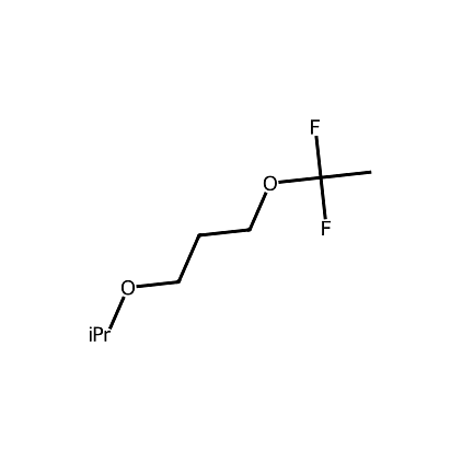 CC(C)OCCCOC(C)(F)F